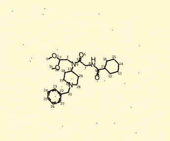 COC(CN(C(=O)CNC(=O)C1CCCCC1)C1CCN(Cc2ccccc2)CC1)OC